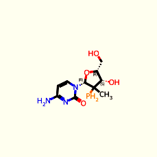 CC1(P)[C@@H](O)[C@@H](CO)O[C@H]1n1ccc(N)nc1=O